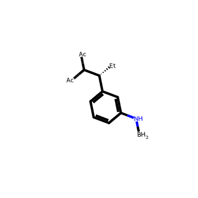 BNc1cccc([C@@H](CC)C(C(C)=O)C(C)=O)c1